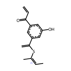 C=CC(=O)c1cc(O)cc(C(=C)S/C(C)=C\C)c1